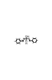 OC(O)(N=Nc1ccccc1)N=Nc1ccccc1